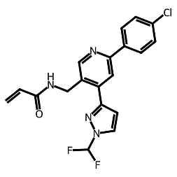 C=CC(=O)NCc1cnc(-c2ccc(Cl)cc2)cc1-c1ccn(C(F)F)n1